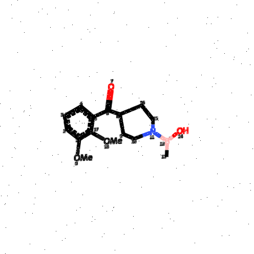 COc1cccc(C(=O)C2CCN(B(C)O)CC2)c1OC